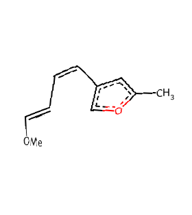 CO/C=C/C=C\c1coc(C)c1